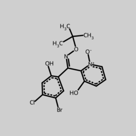 CC(C)(C)ON=C(c1cc(Br)c(Cl)cc1O)c1c(O)ccc[n+]1[O-]